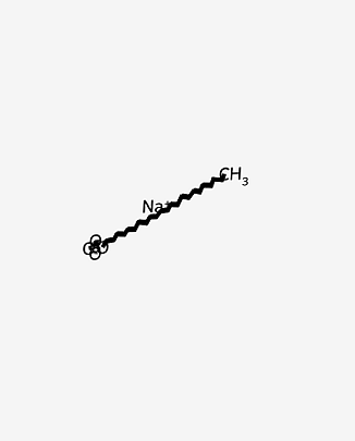 CCCC=CC=CC=CC=CC=CC=CC=CC=CC=CC=COS(=O)(=O)[O-].[Na+]